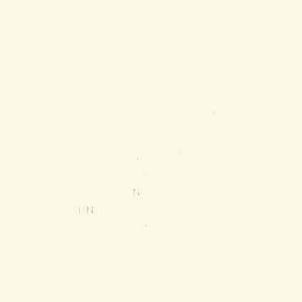 C#CCOCCOc1cccc2c1C(=O)N(C1CCC(=O)NC1=O)C2=O